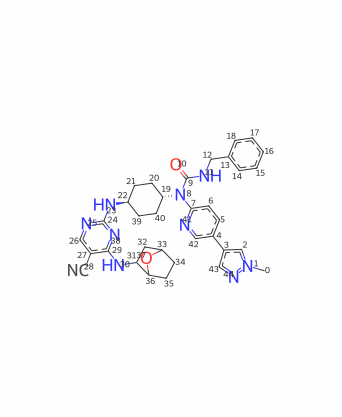 Cn1cc(-c2ccc(N(C(=O)NCc3ccccc3)[C@H]3CC[C@H](Nc4ncc(C#N)c(NC5CC6CCC5O6)n4)CC3)nc2)cn1